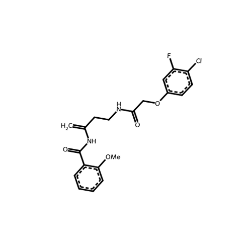 C=C(CCNC(=O)COc1ccc(Cl)c(F)c1)NC(=O)c1ccccc1OC